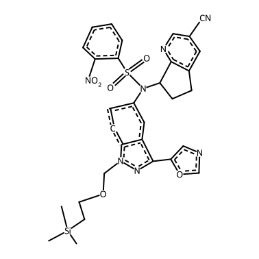 C[Si](C)(C)CCOCn1nc(-c2cnco2)c2cc(N(C3CCc4cc(C#N)cnc43)S(=O)(=O)c3ccccc3[N+](=O)[O-])ccc21